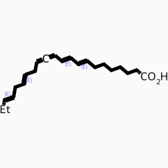 CC/C=C/C/C=C/CC=C=C/C=C/C=C/CCCCCCC(=O)O